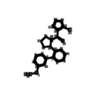 COc1cccc(-c2ccccc2C2CCCN2C(=O)c2sccc2Cl)c1